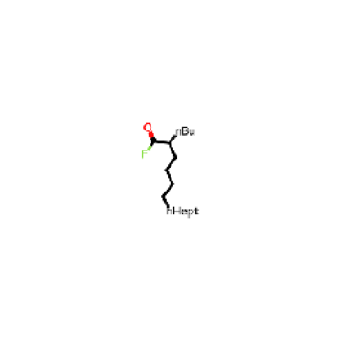 CCCCCCCCCCCC(CCCC)C(=O)F